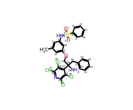 Cc1cc(NS(=O)(=O)c2ccccc2)cc(OCC(N)(Cc2ccccc2)c2c(Cl)c(Cl)nc(Cl)c2Cl)c1